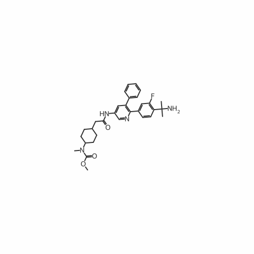 COC(=O)N(C)C1CCC(CC(=O)Nc2cnc(-c3ccc(C(C)(C)N)c(F)c3)c(-c3ccccc3)c2)CC1